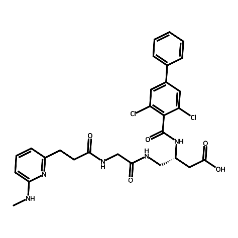 CNc1cccc(CCC(=O)NCC(=O)NC[C@@H](CC(=O)O)NC(=O)c2c(Cl)cc(-c3ccccc3)cc2Cl)n1